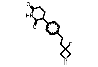 O=C1CCC(c2ccc(CCC3(F)CNC3)cc2)C(=O)N1